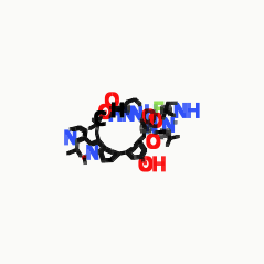 CCn1c(-c2cccnc2C(C)C)c2c3cc(ccc31)-c1cc(O)cc(c1)C[C@H](NC(=O)[C@H](C(C)C)N(C)C(=O)[C@@]1(F)CCNC1)C(=O)N1CCC[C@H](N1)C(=O)OCC(C)(C)C2